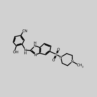 CN1CCN(S(=O)(=O)c2ccc3[nH]c(Nc4cc(C#N)ccc4O)nc3c2)CC1